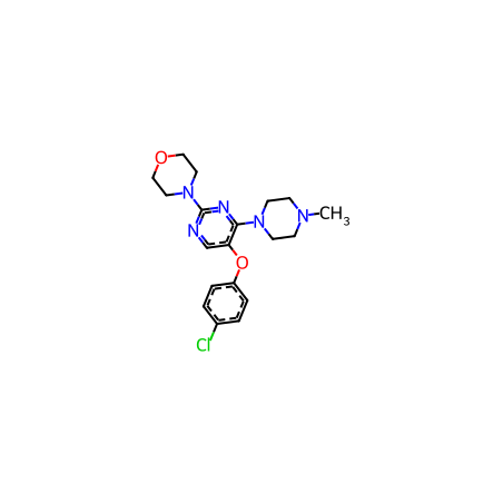 CN1CCN(c2nc(N3CCOCC3)ncc2Oc2ccc(Cl)cc2)CC1